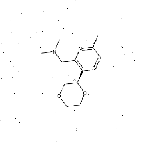 Cc1ccc([C@@H]2COCCO2)c(CN(C)C)n1